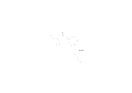 NNC(=O)c1nn(C(=O)NN)c2c1CCCC2